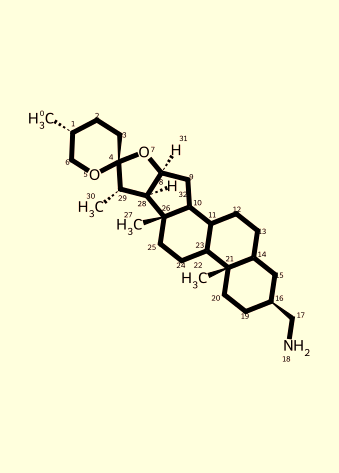 C[C@@H]1CC[C@@]2(OC1)O[C@H]1CC3C4CCC5C[C@@H](CN)CC[C@]5(C)C4CC[C@]3(C)[C@H]1[C@@H]2C